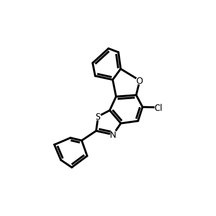 Clc1cc2nc(-c3ccccc3)sc2c2c1oc1ccccc12